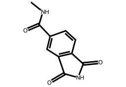 CNC(=O)c1ccc2c(c1)C(=O)NC2=O